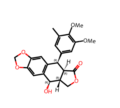 COc1cc([C@@H]2c3cc4c(cc3[C@H](O)[C@H]3COC(=O)[C@H]23)OCO4)cc(C)c1OC